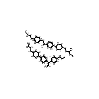 CCC(=O)CCC1CCC(c2cnc(C(=O)Cc3ccc(CCCF)cc3)nc2)CC1.CCCc1ccc(C(C=O)c2ncc(C3CCC(CCCCl)CC3)cn2)cc1